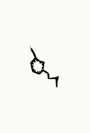 CC/C=C/c1cccc(I)c1